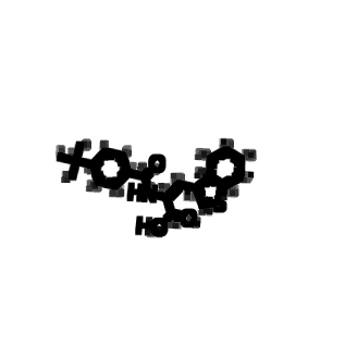 CC(C)(C)c1ccc(C(=O)N/C(=C/c2csc3ccccc23)C(=O)O)cc1